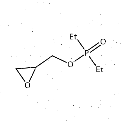 CCP(=O)(CC)OCC1CO1